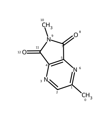 Cc1cnc2c(n1)C(=O)N(C)C2=O